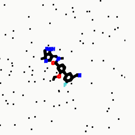 CCOc1cc(C(=O)N(C)Cc2cnc(C)c3cn[nH]c23)ccc1-c1cc(F)cc(C#N)c1